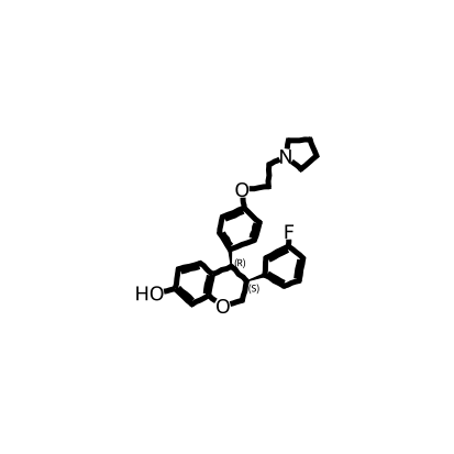 Oc1ccc2c(c1)OC[C@H](c1cccc(F)c1)[C@@H]2c1ccc(OCCN2CCCC2)cc1